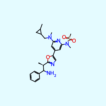 CC1CC1CN(C)c1cc(-c2cnc([C@H](C)C(N)c3ccccc3)o2)cc(N(C)S(C)(=O)=O)n1